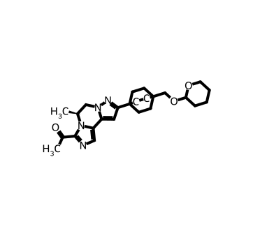 CC(=O)c1ncc2n1[C@@H](C)Cn1nc(C34CCC(COC5CCCCO5)(CC3)CC4)cc1-2